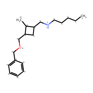 CCCCCNCC1CC(COCc2ccccc2)C1C